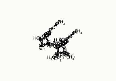 CCOCCOCCOc1ccc(CC(C(=O)O)N2CCN(CC(=O)O)CCN(CC(=O)O)CCN(CC(=O)O)CC2)nc1.CCOCCOCCOc1ccc(CC(C(=O)OC(C)(C)C)N2CCN(CC(=O)OC(C)(C)C)CCN(CC(=O)OC(C)(C)C)CCN(CC(=O)OC(C)(C)C)CC2)nc1